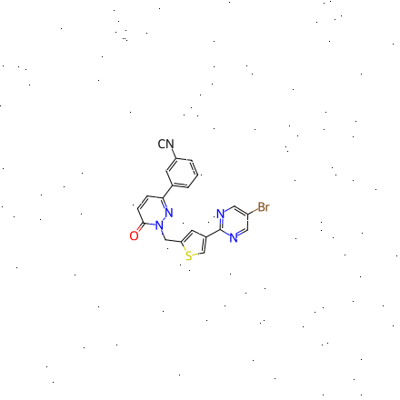 [C-]#[N+]c1cccc(-c2ccc(=O)n(Cc3cc(-c4ncc(Br)cn4)cs3)n2)c1